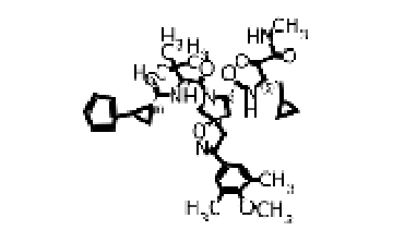 CNC(=O)C(=O)[C@H](CC1CC1)NC(=O)[C@@H]1C[C@]2(CC(c3cc(C)c(OC)c(C)c3)=NO2)CN1C(=O)[C@@H](NC(=O)[C@@H]1CC1c1ccccc1)C(C)(C)C